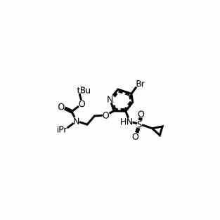 CC(C)N(CCOc1ncc(Br)cc1NS(=O)(=O)C1CC1)C(=O)OC(C)(C)C